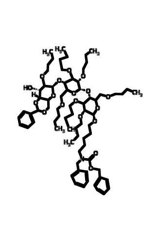 CCCCOCC1O[C@@H](OCCCCCN(Cc2ccccc2)C(=O)OCc2ccccc2)[C@@H](OCCCC)C(OCCCC)[C@@H]1O[C@@H]1OC(COCCCC)[C@H](O[C@H]2OC3COC(c4ccccc4)O[C@@H]3[C@H](O)C2OCCCC)C(OCCCC)[C@@H]1OCCCC